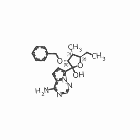 CC[C@H]1OC(O)(c2ccc3c(N)ncnn23)[C@H](OCc2ccccc2)[C@@H]1C